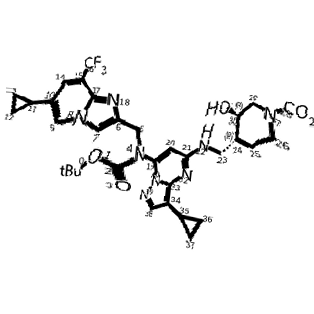 CC(C)(C)OC(=O)N(Cc1cn2cc(C3CC3)cc(C(F)(F)F)c2n1)c1cc(NC[C@H]2CCN(C(=O)O)C[C@@H]2O)nc2c(C3CC3)cnn12